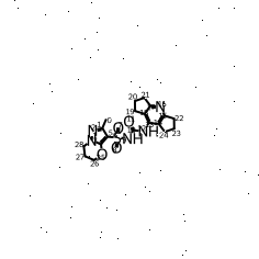 Cc1nn2c(c1S(=O)(=O)NC(=O)Nc1c3c(nc4c1CCC4)CCC3)OCCC2